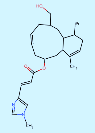 CC1=CCC(C(C)C)C2CC(CO)C/C=C\CC(OC(=O)C=Cc3cn(C)cn3)CC12